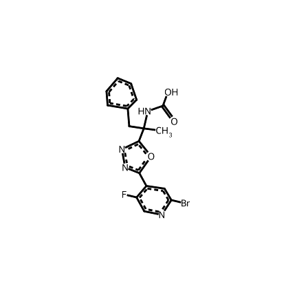 CC(Cc1ccccc1)(NC(=O)O)c1nnc(-c2cc(Br)ncc2F)o1